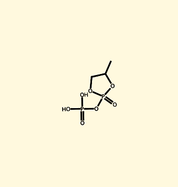 CC1COP(=O)(OP(=O)(O)O)O1